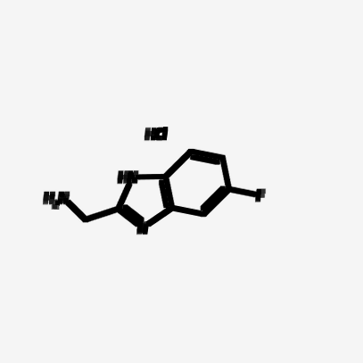 Cl.NCc1nc2cc(F)ccc2[nH]1